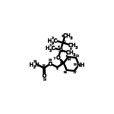 CC(C)(C)[Si](C)(C)OC1(COC(N)=O)CCNCC1